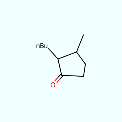 CCCCC1C(=O)CCC1C